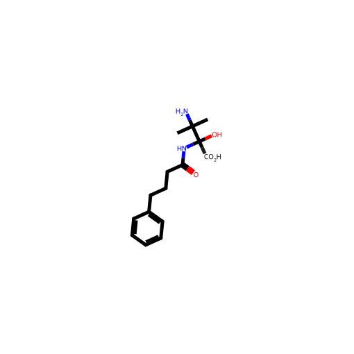 CC(C)(N)C(O)(NC(=O)CCCc1ccccc1)C(=O)O